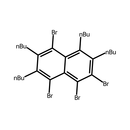 CCCCc1c(CCCC)c(Br)c2c(CCCC)c(CCCC)c(Br)c(Br)c2c1Br